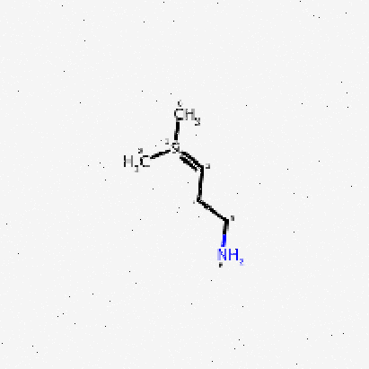 C[Si](C)=CCCN